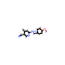 COc1ccc(CNc2cc(C)c(C#N)cn2)cc1